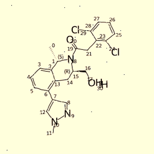 C[C@H]1c2cccc(-c3cnn(C)c3)c2C[C@H](CO)N1C(=O)Cc1c(Cl)cccc1Cl.I